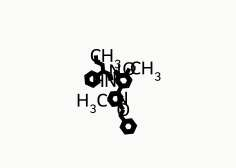 CCCC(c1ccccc1)c1nc2c(OC)ccc(-c3cc(C)cc(OCc4ccccc4)n3)c2[nH]1